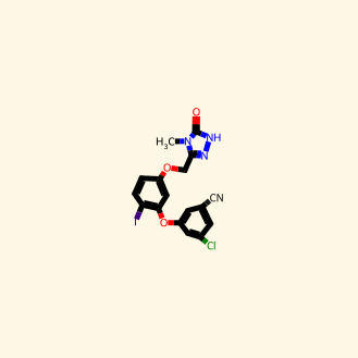 Cn1c(COc2ccc(I)c(Oc3cc(Cl)cc(C#N)c3)c2)n[nH]c1=O